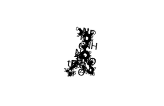 Cc1cn2cc(NC(=O)c3ccc(NC(=O)C4CCCN4C(=O)OC(C)(C)C)c4c3ncn4COCC[Si](C)(C)C)cc(F)c2n1